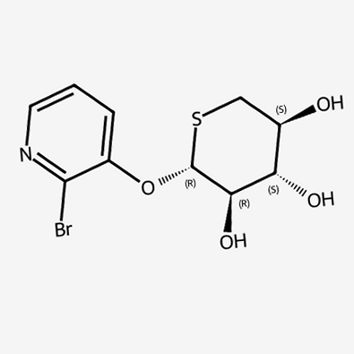 O[C@@H]1[C@@H](O)[C@H](Oc2cccnc2Br)SC[C@H]1O